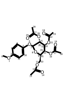 COc1ccc(OC2O[C@H](COC(C)=O)[C@H](OC(C)=O)[C@H](OC(C)=O)[C@H]2OC(C)=O)cc1